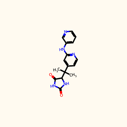 CC(C)(c1ccnc(Nc2cccnc2)c1)C1NC(=O)NC1=O